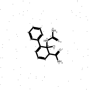 NC(=O)C1C=CC=C(c2ccccc2)C1(Cl)NC(N)=S